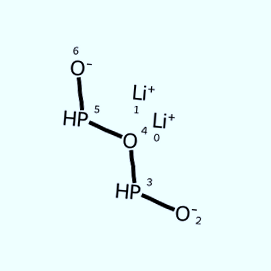 [Li+].[Li+].[O-]POP[O-]